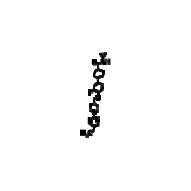 CCc1cnc(N2CCC(COc3ccc(C4=CCC(C(=O)NC5CC5)CC4)cc3F)CC2)nc1